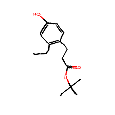 CCc1cc(O)ccc1CCC(=O)OC(C)(C)C